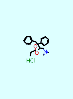 CCC(=O)OC(Cc1ccccc1)(c1ccccc1)C(C)CN(C)C.Cl